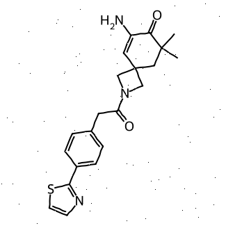 CC1(C)CC2(C=C(N)C1=O)CN(C(=O)Cc1ccc(-c3nccs3)cc1)C2